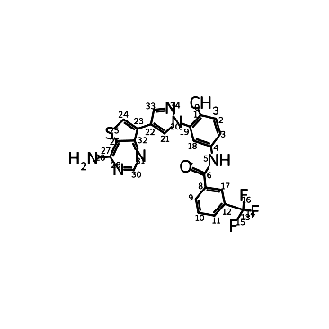 Cc1ccc(NC(=O)c2cccc(C(F)(F)F)c2)cc1-n1cc(-c2csc3c(N)ncnc23)cn1